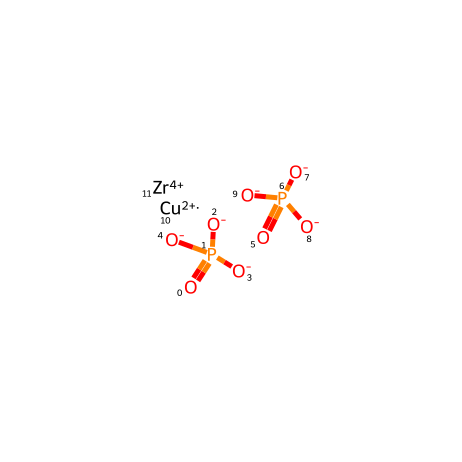 O=P([O-])([O-])[O-].O=P([O-])([O-])[O-].[Cu+2].[Zr+4]